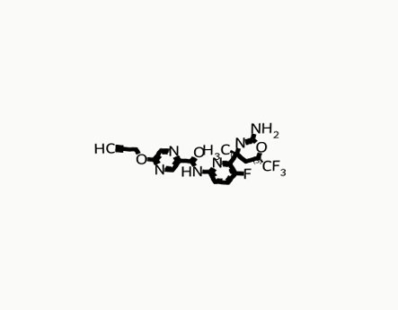 C#CCOc1cnc(C(=O)Nc2ccc(F)c([C@@]3(C)C[C@@H](C(F)(F)F)OC(N)=N3)n2)cn1